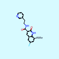 CNc1cc(F)cc2cc(C(=O)NCCc3cccnc3)c(=O)[nH]c12